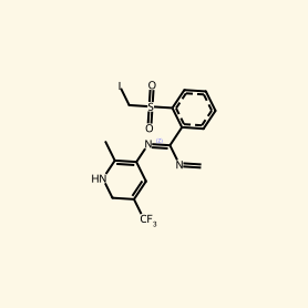 C=N/C(=N\C1=C(C)NCC(C(F)(F)F)=C1)c1ccccc1S(=O)(=O)CI